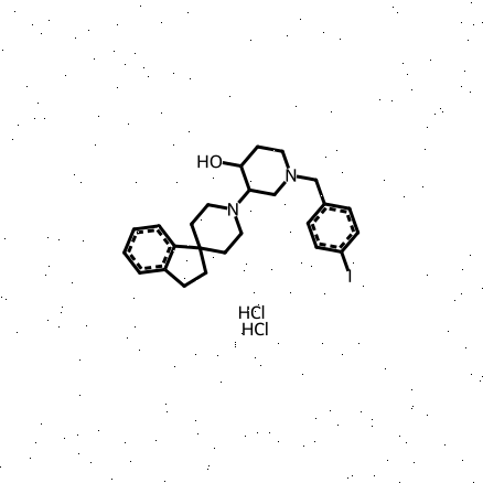 Cl.Cl.OC1CCN(Cc2ccc(I)cc2)CC1N1CCC2(CCc3ccccc32)CC1